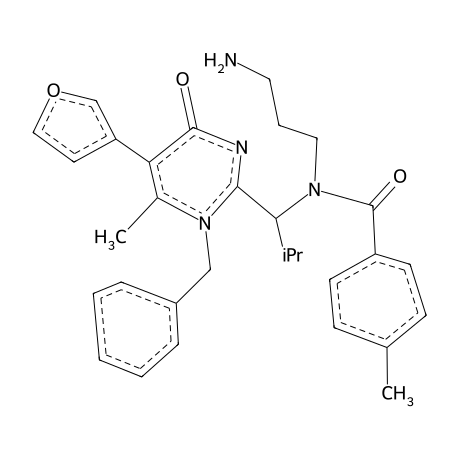 Cc1ccc(C(=O)N(CCCN)C(c2nc(=O)c(-c3ccoc3)c(C)n2Cc2ccccc2)C(C)C)cc1